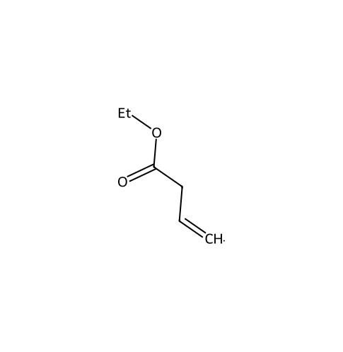 [CH]=CCC(=O)OCC